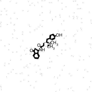 CN(C)[C@H](CCC(=O)NC1CC(=O)c2ccccc21)Cc1ccc(O)cc1